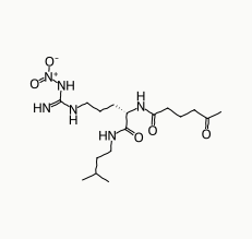 CC(=O)CCCC(=O)N[C@@H](CCCNC(=N)N[N+](=O)[O-])C(=O)NCCC(C)C